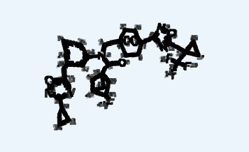 O=C(N(CC12CCC(c3noc(C4(C(F)(F)F)CC4)n3)(CC1)CC2)c1cccc(-c2nc(C3CC3)no2)c1)C12CC(F)C(C1)C2